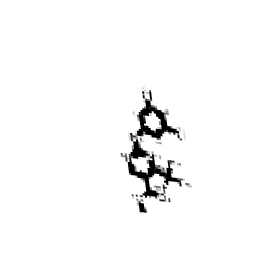 COC(=O)c1cnc(Nc2cc(Cl)cc(Cl)c2)nc1C(F)(F)F